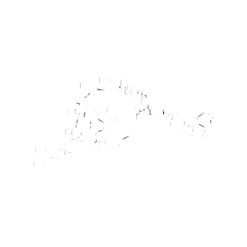 C/C1=C/C=C/C(C)[C@H](O)[C@@H](C)C(O)[C@@H](C)[C@H](OC(=O)CC(=O)N2CCC(Nc3ccncc3Cl)CC2)CC/C=C/O[C@@]2(C)Oc3c(C)c(O)c4c(c3C2=O)C2=NC3(CCN(CC(C)C)CC3)NC2=C(NC1=O)C4=O